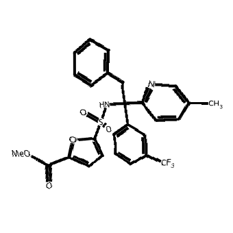 COC(=O)c1ccc(S(=O)(=O)NC(Cc2ccccc2)(c2cccc(C(F)(F)F)c2)c2ccc(C)cn2)o1